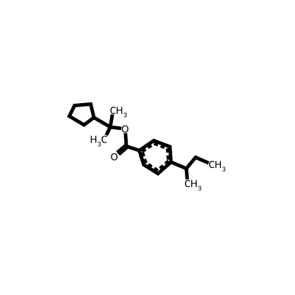 CCC(C)c1ccc(C(=O)OC(C)(C)C2CCCC2)cc1